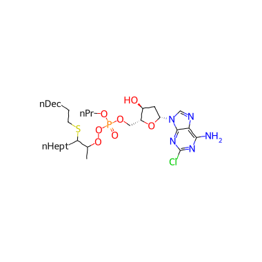 CCCCCCCCCCCCSC(CCCCCCC)C(C)OOP(=O)(OCCC)OC[C@H]1O[C@@H](n2cnc3c(N)nc(Cl)nc32)C[C@@H]1O